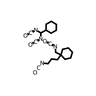 O=C=NC(N=C=O)C1CCCCC1.O=C=NCCCC1(CN=C=O)CCCCC1